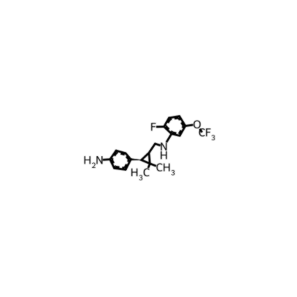 CC1(C)C(CNc2cc(OC(F)(F)F)ccc2F)[C@@H]1c1ccc(N)cc1